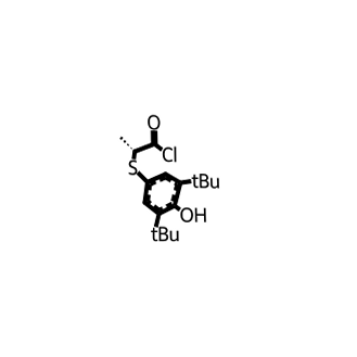 C[C@@H](Sc1cc(C(C)(C)C)c(O)c(C(C)(C)C)c1)C(=O)Cl